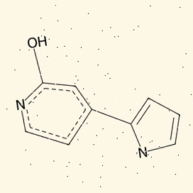 Oc1cc(C2=CC=C[N]2)ccn1